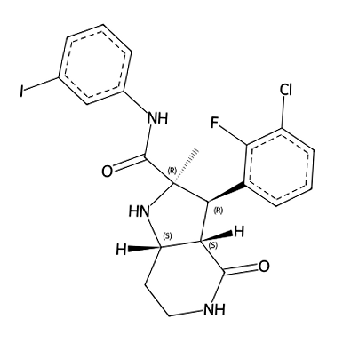 C[C@@]1(C(=O)Nc2cccc(I)c2)N[C@H]2CCNC(=O)[C@H]2[C@@H]1c1cccc(Cl)c1F